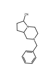 N#CC1CCC2CN(Cc3ccccc3)CCN12